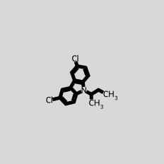 CCC(C)n1c2ccc(Cl)cc2c2cc(Cl)ccc21